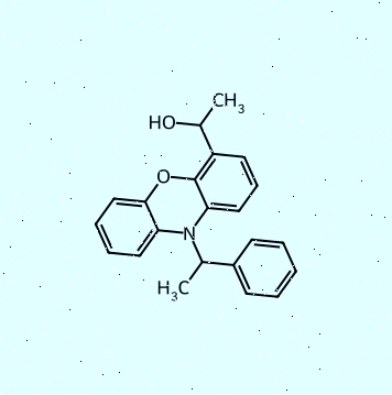 CC(O)c1cccc2c1Oc1ccccc1N2C(C)c1ccccc1